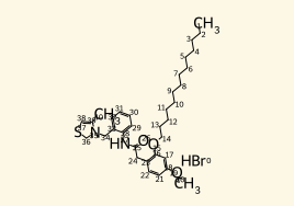 Br.CCCCCCCCCCCCCCOc1cc(OC)ccc1CC(=O)Nc1ccccc1CN1CSC=C1C